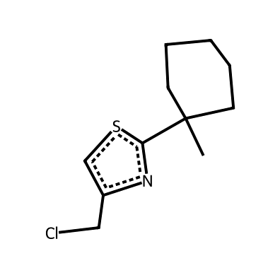 CC1(c2nc(CCl)cs2)CCCCC1